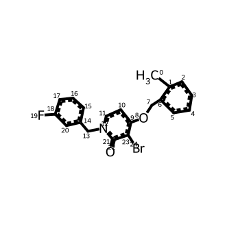 Cc1ccccc1COc1ccn(Cc2cccc(F)c2)c(=O)c1Br